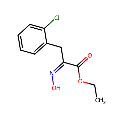 CCOC(=O)C(Cc1ccccc1Cl)=NO